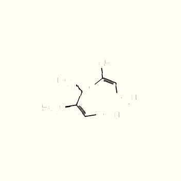 C/C(=C/C(=O)O)C(=O)O.O=C(O)/C=C(\CC(=O)O)C(=O)O